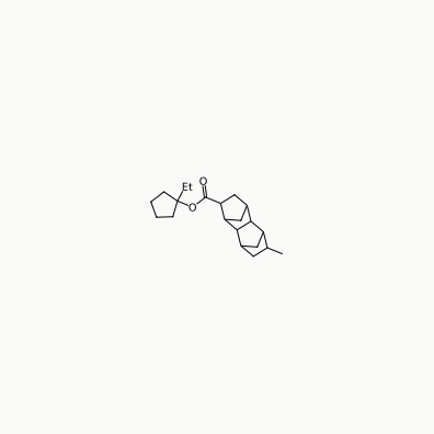 CCC1(OC(=O)C2CC3CC2C2C4CC(C)C(C4)C32)CCCC1